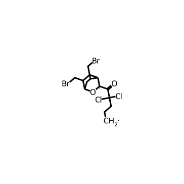 [CH2]CCC(Cl)(Cl)C(=O)[C]1OC2CC(CBr)C1CC2CBr